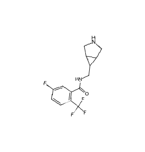 O=C(NCC1C2CNCC21)c1cc(F)ccc1C(F)(F)F